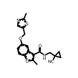 Cc1ncc(COc2ccc3oc(C)c(C(=O)NCC4(C#N)CC4)c3c2)s1